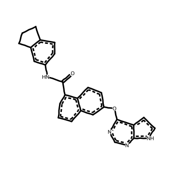 O=C(Nc1ccc2c(c1)CCC2)c1cccc2cc(Oc3ncnc4[nH]ccc34)ccc12